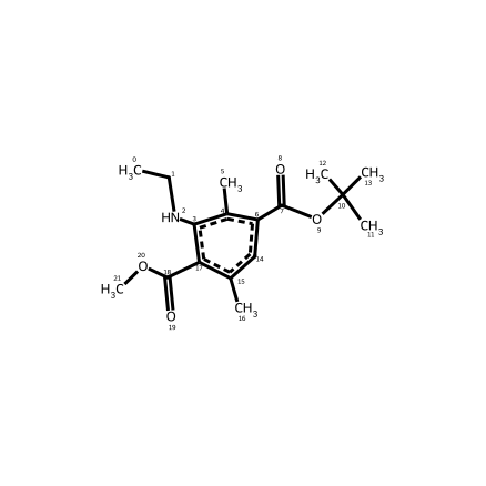 CCNc1c(C)c(C(=O)OC(C)(C)C)cc(C)c1C(=O)OC